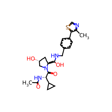 CC(=O)N[C@H](C(=O)N1C[C@H](O)C/C1=C(/O)NCc1ccc(-c2scnc2C)cc1)C1CC1